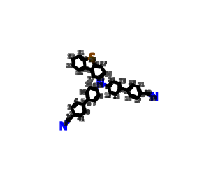 N#Cc1ccc(-c2ccc(N(c3ccc(-c4ccc(C#N)cc4)cc3)c3ccc4sc5ccccc5c4c3)cc2)cc1